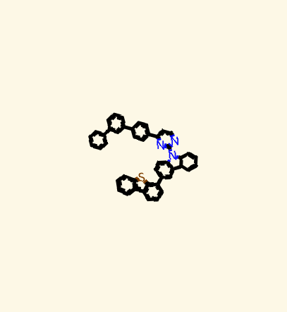 C1=CC2c3cc(-c4cccc5c4sc4ccccc45)ccc3N(c3nccc(-c4ccc(-c5cccc(-c6ccccc6)c5)cc4)n3)C2C=C1